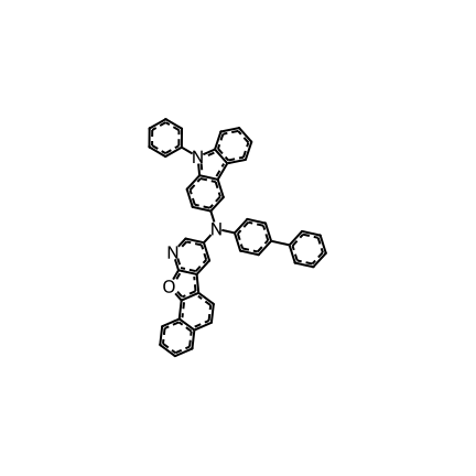 c1ccc(-c2ccc(N(c3cnc4oc5c6ccccc6ccc5c4c3)c3ccc4c(c3)c3ccccc3n4-c3ccccc3)cc2)cc1